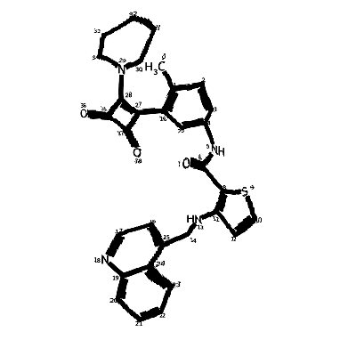 Cc1ccc(NC(=O)c2sccc2NCc2ccnc3ccccc23)cc1-c1c(N2CCCCC2)c(=O)c1=O